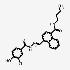 CCCCNC(=O)c1ccc(/C=N/NC(=O)c2ccc(O)c(Cl)c2)c2ccccc12